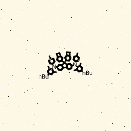 CCCCc1cc(C)c(N(c2ccc(C)cc2)c2ccc3c(c2)C(c2ccc4c(c2)CC4)(c2ccc4c(c2)CC4)c2cc(N(c4ccc(C)cc4)c4c(C)cc(CCCC)cc4C)ccc2-3)c(C)c1